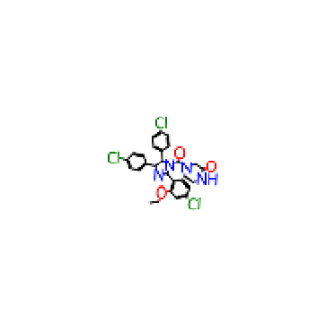 CCOc1cc(Cl)ccc1C1=NC(c2ccc(Cl)cc2)C(c2ccc(Cl)cc2)N1C(=O)N1CCNC(=O)C1